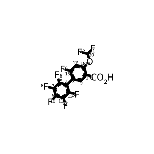 O=C(O)c1cc(-c2c(F)c(F)c(F)c(F)c2F)c(F)cc1OC(F)F